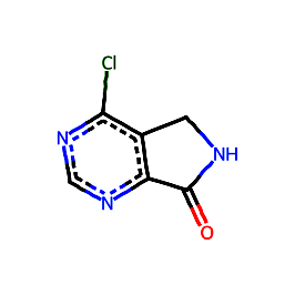 O=C1NCc2c(Cl)ncnc21